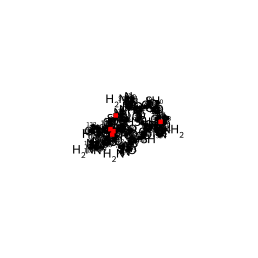 CC[C@H]1O[C@@H](n2cc(C)c(=O)[nH]c2=O)C[C@H]1OP(=O)(S)OC[C@H]1O[C@@H](n2cnc3c(N)ncnc32)C[C@H]1OP(=O)(S)OC[C@H]1O[C@@H](n2cnc3c(N)ncnc32)C[C@H]1OP(=O)(S)OC[C@H]1O[C@@H](n2cc(C)c(N)nc2=O)C[C@H]1OP(=O)(S)OC[C@H]1O[C@@H](n2cnc3c(N)ncnc32)C[C@H]1OP(=O)(S)OC[C@H]1O[C@@H](n2cnc3c(N)ncnc32)C[C@H]1OP(=O)(S)OC[C@H]1O[C@@H](n2cc(C)c(=O)[nH]c2=O)C[C@H]1OP(=O)(S)OC